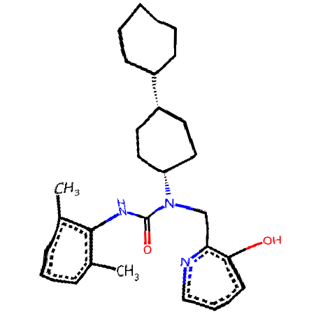 Cc1cccc(C)c1NC(=O)N(Cc1ncccc1O)[C@H]1CC[C@@H](C2CCCCC2)CC1